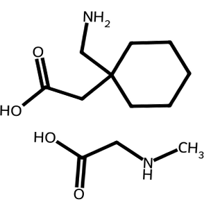 CNCC(=O)O.NCC1(CC(=O)O)CCCCC1